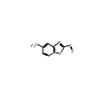 O=Pc1nc2cc(C(F)(F)F)ccc2s1